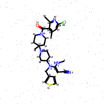 CN/C(=C\C#N)N(Cc1ccsc1)C1CCN(C2(C)CCN(C(=O)c3c(C)cc(Cl)nc3C)CC2)CC1